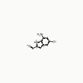 Nc1cc(Cl)cc2cc(C=O)[nH]c12